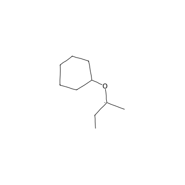 CC[C](C)OC1CCCCC1